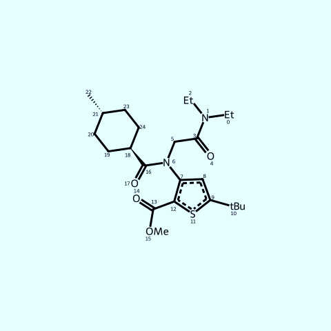 CCN(CC)C(=O)CN(c1cc(C(C)(C)C)sc1C(=O)OC)C(=O)[C@H]1CC[C@H](C)CC1